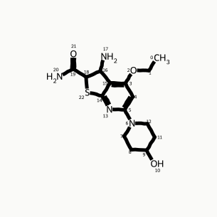 CCOc1cc(N2CCC(O)CC2)nc2c1C(N)C(C(N)=O)S2